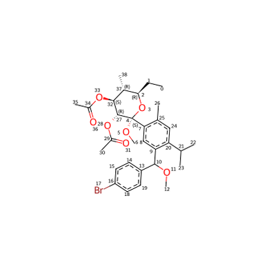 CC[C@H]1O[C@@](OC)(c2cc(C(OC)c3ccc(Br)cc3)c(C(C)C)cc2C)[C@H](OC(C)=O)[C@@H](OC(C)=O)[C@@H]1C